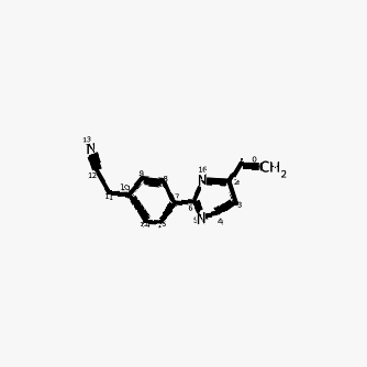 C=Cc1ccnc(-c2ccc(CC#N)cc2)n1